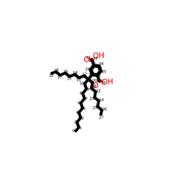 CCCCCCCCCCCC(CCCCCCCC)(CCCCCCCC)c1cc(C(=O)O)ccc1C(=O)O